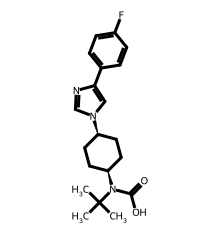 CC(C)(C)N(C(=O)O)[C@H]1CC[C@@H](n2cnc(-c3ccc(F)cc3)c2)CC1